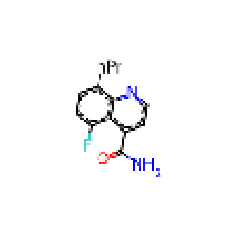 CCCc1ccc(F)c2c(C(N)=O)ccnc12